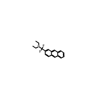 CCN(CC)C(F)(F)c1ccc2cc3ccccc3cc2c1